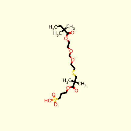 CCC(C)(C)C(=O)OCCOCOCCSCC(C)(C)C(=O)OCCCS(=O)(=O)O